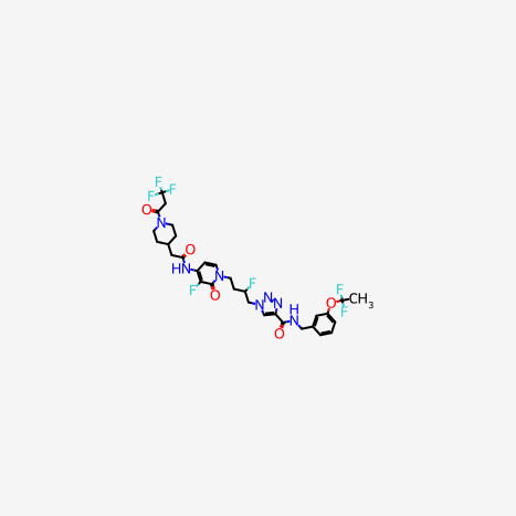 CC(F)(F)Oc1cccc(CNC(=O)c2cn(CC(F)CCn3ccc(NC(=O)CC4CCN(C(=O)CC(F)(F)F)CC4)c(F)c3=O)nn2)c1